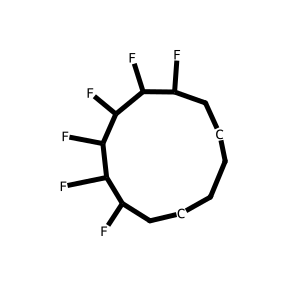 FC1CCCCCCC(F)C(F)C(F)C(F)C1F